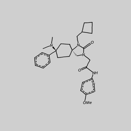 COc1ccc(NC(=O)CN2C[C@]3(CC[C@](c4ccccc4)(N(C)C)CC3)N(CC3CCC3)C2=O)nc1